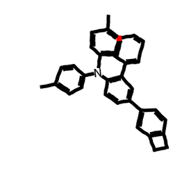 Cc1ccc(N(c2ccc(C)cc2)c2ccc(-c3ccc4c(c3)CC4)cc2-c2ccccc2)cc1